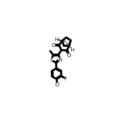 Cc1sc(-c2ccc(Cl)c(F)c2)nc1C1C(=O)[C@@H]2CC[C@H](C2)C1=O